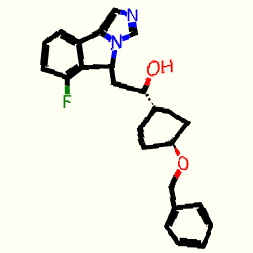 OC(CC1c2c(F)cccc2-c2cncn21)[C@H]1CC[C@H](OCc2ccccc2)CC1